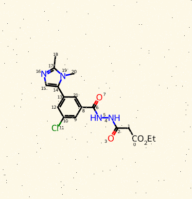 CCOC(=O)CC(=O)NNC(=O)c1cc(Cl)cc(-c2cnc(C)n2C)c1